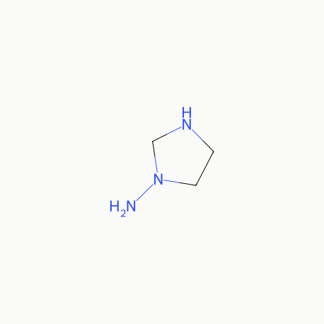 NN1CCNC1